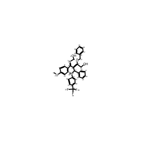 COc1ccc(C(=N/CO)/C(=C(/CO)OCc2ccccc2)C(c2ccccc2)N(C)c2ccc(C(F)(F)F)cc2)cc1